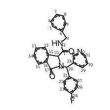 O=C(NCc1ccccc1)C1c2ccccc2C(=O)N1C(c1ccc(F)cc1)c1cccnc1